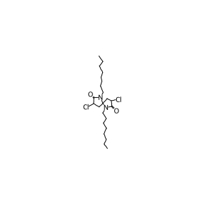 CCCCCCCCN1C(=O)C(Cl)CC12CC(Cl)C(=O)N2CCCCCCCC